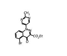 CCOC(=O)c1nn(-c2cnc(C)nc2)c2cccc(Br)c2c1=O